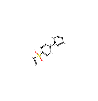 C=CS(=O)(=O)c1ccc(-c2[c]cccc2)cc1